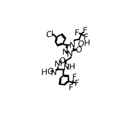 N/C(=N\O)C(NC(=O)Cn1nc(-c2ccc(Cl)cc2)n(C[C@H](O)C(F)(F)F)c1=O)c1cccc(C(F)(F)F)c1